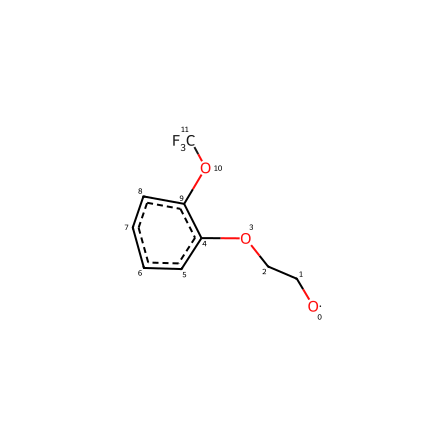 [O]CCOc1ccccc1OC(F)(F)F